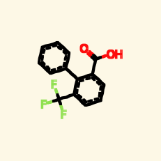 O=C(O)c1cccc(C(F)(F)F)c1-c1ccccc1